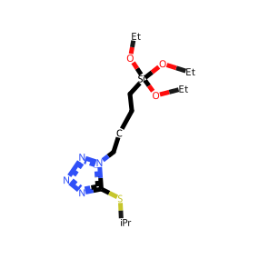 CCO[Si](CCCCn1nnnc1SC(C)C)(OCC)OCC